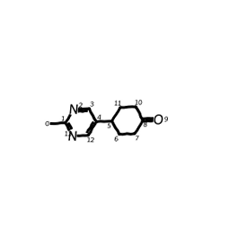 Cc1ncc(C2CCC(=O)CC2)cn1